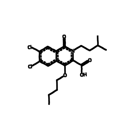 CCCCOc1c(C(=O)O)n(CCC(C)C)c(=O)c2cc(Cl)c(Cl)cc12